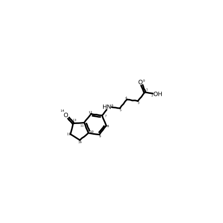 O=C(O)CCCNc1ccc2c(c1)C(=O)CC2